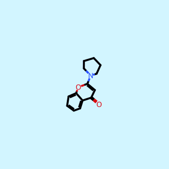 O=c1cc(N2CCCCC2)oc2ccccc12